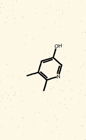 Cc1cc(O)cnc1C